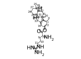 Cc1cc(OC(=O)C(N)CCCNC(=N)N)cc2c1[C@@]1(C)CC[C@H]3C(C)(C)CCC[C@]3(C)[C@H]1C2